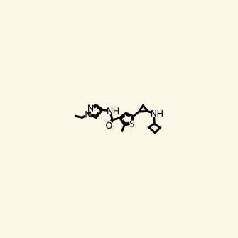 CCn1cc(NC(=O)c2cc(C3CC3NC3CCC3)sc2C)cn1